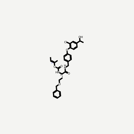 C/C=C(\C)OC(=O)N[C@@H](CCOCc1ccccc1)C(=O)NCc1ccc(Oc2ccc(C(C)O)cc2Cl)cc1